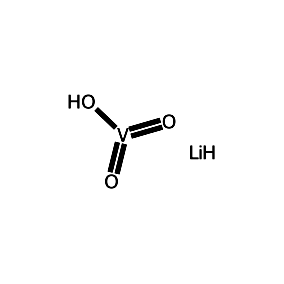 [LiH].[O]=[V](=[O])[OH]